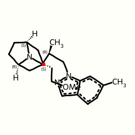 COCC[C@@H]1C[C@H]2CC[C@@H](C1)N2C[C@@H](C)Cn1ncc2ccc(C)cc21